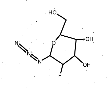 [N-]=[N+]=NC1OC(CO)C(O)C(O)C1F